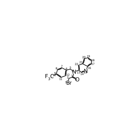 O=C(CBr)N(Cc1ccc(C(F)(F)F)cc1)c1cnc2ccccc2c1